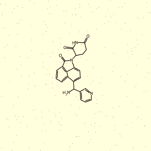 NC(c1cccnc1)c1ccc2c3c(cccc13)C(=O)N2C1CCC(=O)NC1=O